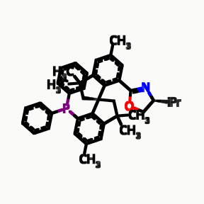 Cc1cc(C2=N[C@@H](C(C)C)CO2)c2c(c1)C(C)(C)C[C@]21CC(C)(C)c2cc(C)cc(P(c3ccccc3)c3ccccc3)c21